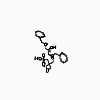 O=S(=O)(O)CC1(CN(Cc2ccccc2)C[C@H](O)COCc2ccccc2)COC1